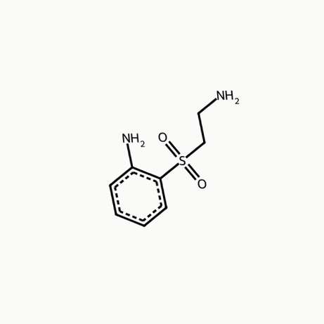 NCCS(=O)(=O)c1ccccc1N